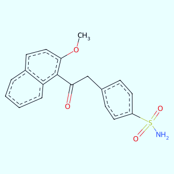 COc1ccc2ccccc2c1C(=O)Cc1ccc(S(N)(=O)=O)cc1